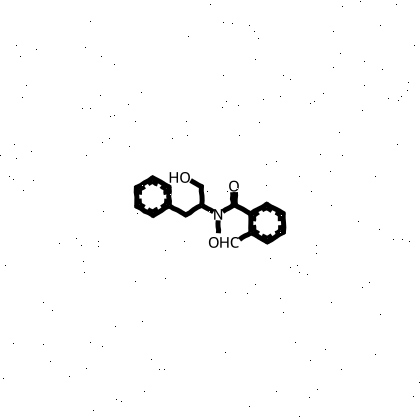 CN(C(=O)c1ccccc1C=O)C(CO)Cc1ccccc1